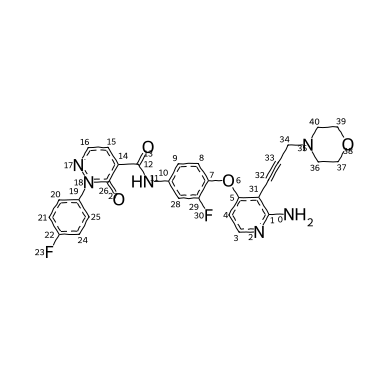 Nc1nccc(Oc2ccc(NC(=O)c3ccnn(-c4ccc(F)cc4)c3=O)cc2F)c1C#CCN1CCOCC1